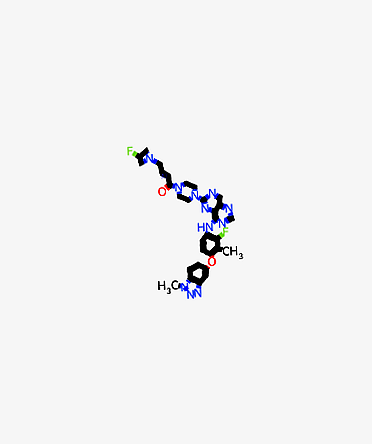 Cc1c(Oc2ccc3c(c2)nnn3C)ccc(Nc2ncnc3cnc(N4CCN(C(=O)/C=C/CN5CC(F)C5)CC4)nc23)c1F